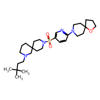 CC(C)(C)CCN1CCCC2(CCN(S(=O)(=O)c3ccc(N4CCC5(CCCO5)CC4)nc3)CC2)C1